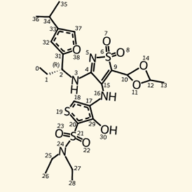 CC[C@@H](NC1=NS(=O)(=O)C(C2OC(C)O2)=C1Nc1csc(S(=O)(=O)N(CC)CC)c1O)c1cc(C(C)C)co1